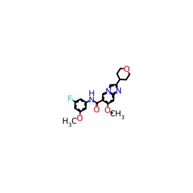 COc1cc(F)cc(NC(=O)c2cn3cc(C4CCOCC4)nc3cc2OC)c1